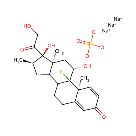 C[C@@H]1CC2C3CCC4=CC(=O)C=C[C@]4(C)[C@@]3(F)[C@@H](O)C[C@]2(C)[C@@]1(O)C(=O)CO.O=P([O-])([O-])[O-].[Na+].[Na+].[Na+]